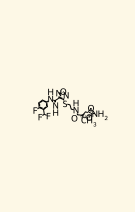 C[C@@H](CS(N)(=O)=O)C(=O)NCCSc1nonc1C(=N)Nc1ccc(F)c(C(F)F)c1